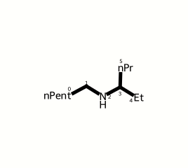 CCCCCCNC(CC)CCC